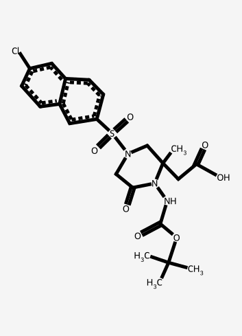 CC(C)(C)OC(=O)NN1C(=O)CN(S(=O)(=O)c2ccc3cc(Cl)ccc3c2)CC1(C)CC(=O)O